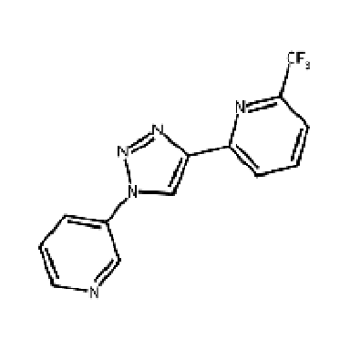 FC(F)(F)c1cccc(-c2cn(-c3cccnc3)nn2)n1